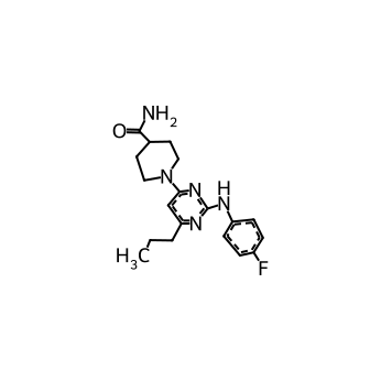 CCCc1cc(N2CCC(C(N)=O)CC2)nc(Nc2ccc(F)cc2)n1